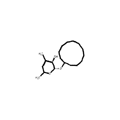 CC1CC(C)[C@@H](O)[C@H](OC2CCCCCCCCCCC2)O1